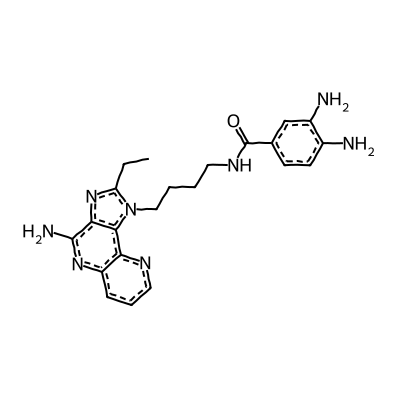 CCc1nc2c(N)nc3cccnc3c2n1CCCCNC(=O)c1ccc(N)c(N)c1